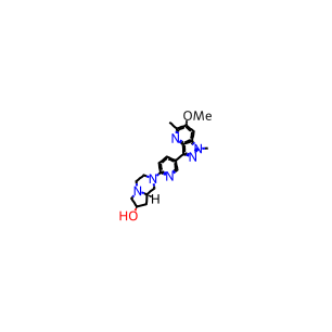 COc1cc2c(nc1C)c(-c1ccc(N3CCN4C[C@H](O)C[C@H]4C3)nc1)nn2C